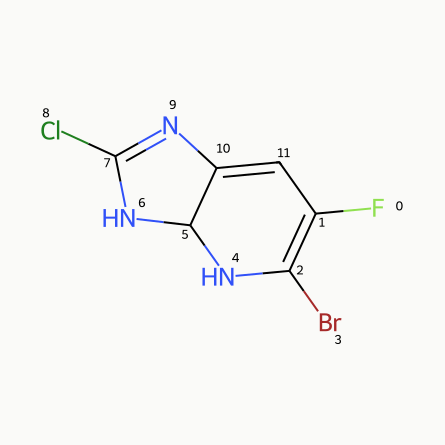 FC1=C(Br)NC2NC(Cl)=NC2=C1